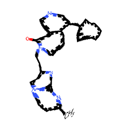 Cc1ccn2cc(Cn3ccc4c(-c5ccccc5)cncc4c3=O)nc2n1